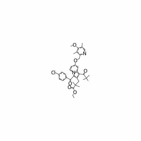 CCOC(=O)C(C)(C)Cc1c(C(=O)C(C)(C)C)c2cc(OCc3ncc(C)c(OC)c3C)ccn2c1C(=O)c1ccc(Cl)cc1